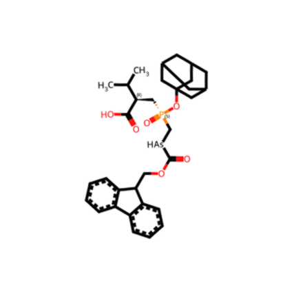 CC(C)[C@@H](C[P@@](=O)(C[AsH]C(=O)OCC1c2ccccc2-c2ccccc21)OC12CC3CC(CC(C3)C1)C2)C(=O)O